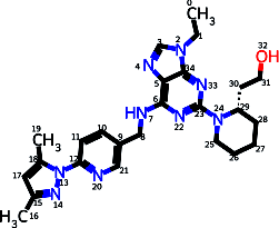 CCn1cnc2c(NCc3ccc(-n4nc(C)cc4C)nc3)nc(N3CCCC[C@H]3CCO)nc21